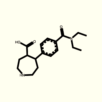 CCN(CC)C(=O)c1ccc(C2CCNCCC2C(=O)O)cc1